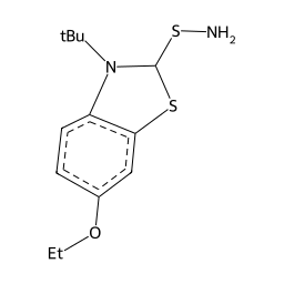 CCOc1ccc2c(c1)SC(SN)N2C(C)(C)C